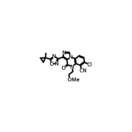 COCCn1c(=O)c2c(-c3noc(C4(C)CC4)n3)ncn2c2ccc(Cl)c(C#N)c21